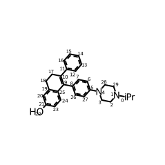 CC(C)N1CCN(c2ccc(C3=C(c4ccccc4)CCc4cc(O)ccc43)cc2)CC1